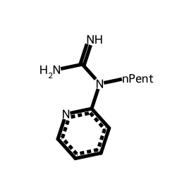 CCCCCN(C(=N)N)c1ccccn1